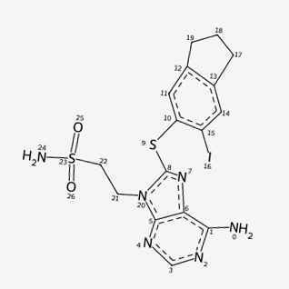 Nc1ncnc2c1nc(Sc1cc3c(cc1I)CCC3)n2CCS(N)(=O)=O